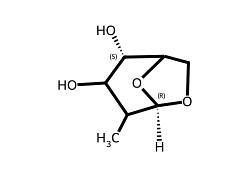 CC1C(O)[C@H](O)C2CO[C@@H]1O2